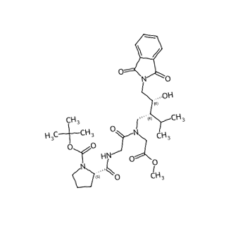 COC(=O)CN(C[C@@H](C(C)C)[C@@H](O)CN1C(=O)c2ccccc2C1=O)C(=O)CNC(=O)[C@@H]1CCCN1C(=O)OC(C)(C)C